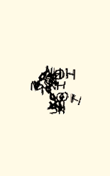 Cc1ncsc1-c1ccc([C@H](C)NC(=O)[C@@H]2C[C@@H](O)CN2C(=O)[C@@H](NC(=O)c2cncc(-c3ccc(C4=N[C@@H](CC(=O)O)c5nnc(C)n5-c5sc(C)c(C)c54)cc3)c2)C(C)(C)C)cc1